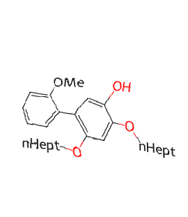 CCCCCCCOc1cc(OCCCCCCC)c(-c2ccccc2OC)cc1O